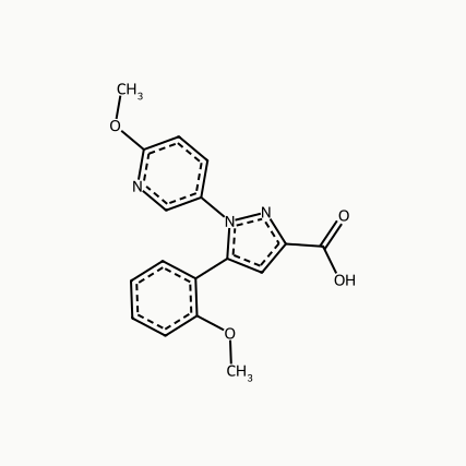 COc1ccc(-n2nc(C(=O)O)cc2-c2ccccc2OC)cn1